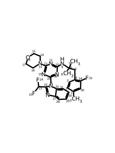 Cc1ccc(CC(C)(C)Nc2nc(N3CCOCC3)nc(-n3c(C(F)F)nc4ccccc43)n2)c(F)c1